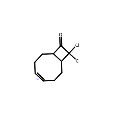 O=C1C2CC/C=C\CCC2C1(Cl)Cl